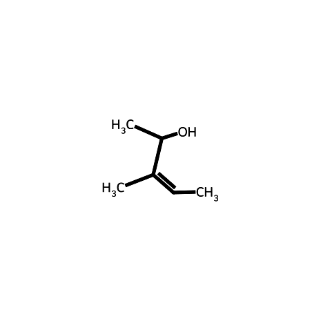 CC=C(C)C(C)O